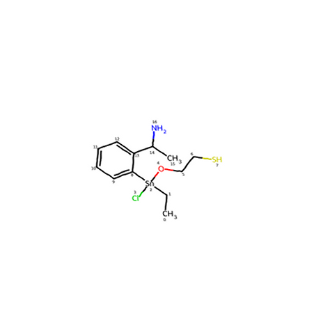 C[CH2][Sn]([Cl])([O]CCS)[c]1ccccc1C(C)N